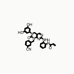 C=CC(=O)Nc1ccccc1Nc1ncc2c(n1)N(Cc1cccc(C#N)c1)C(=O)N(c1cc(O)cc(O)c1)C2